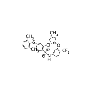 Cc1cccc(C)c1Sc1ccc(S(=O)(=O)Nc2ccc(C(F)(F)F)c(O[C@@H]3CCN(C)C3)c2)c(Cl)c1